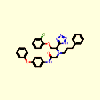 O=C(CN(CCCc1ccccc1)C(COc1ccccc1Cl)c1nnn[nH]1)Nc1ccc(Oc2ccccc2)cc1